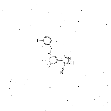 Cc1cc(OCc2cccc(F)c2)cc(-c2nn[nH]c2C#N)c1